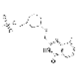 Cc1cccc2c(=O)[nH]c(CSC3CCCC(COS(C)(=O)=O)C3)nc12